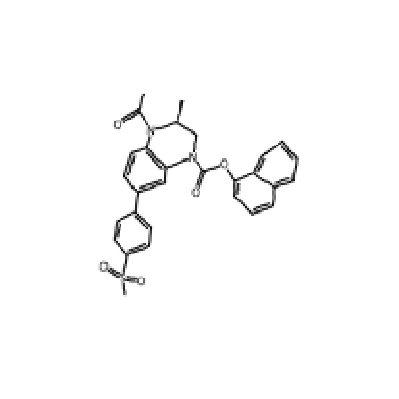 CC(=O)N1c2ccc(-c3ccc(S(C)(=O)=O)cc3)cc2N(C(=O)Oc2cccc3ccccc23)C[C@@H]1C